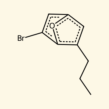 CCCc1cc2cc(Br)c1o2